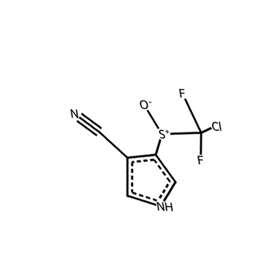 N#Cc1c[nH]cc1[S+]([O-])C(F)(F)Cl